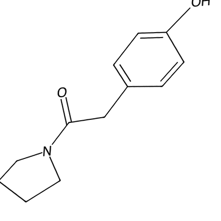 O=C(Cc1ccc(O)cc1)N1CCCC1